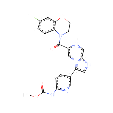 COC(=O)Nc1ccc(-c2cnc3cnc(C(=O)N4CCOc5cc(F)ccc54)cn23)cn1